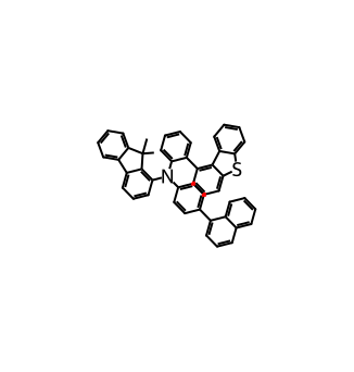 CC1(C)c2ccccc2-c2cccc(N(c3ccc(-c4cccc5ccccc45)cc3)c3ccccc3-c3cccc4sc5ccccc5c34)c21